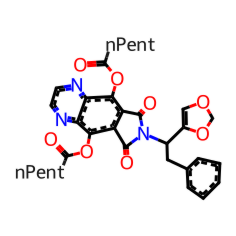 CCCCCC(=O)Oc1c2c(c(OC(=O)CCCCC)c3nccnc13)C(=O)N(C(Cc1ccccc1)C1=COCO1)C2=O